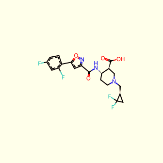 O=C(N[C@H]1CCN(C[C@H]2CC2(F)F)C[C@@H]1C(=O)O)c1cc(-c2ccc(F)cc2F)on1